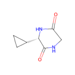 O=C1CNC(=O)[C@H](C2CC2)N1